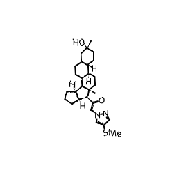 CSc1cnn(CC(=O)[C@H]2[C@H]3CCC[C@H]3C3C4CCC5C[C@](C)(O)CC[C@@H]5[C@H]4CC[C@@]32C)c1